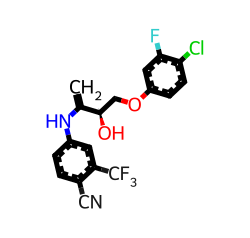 C=C(Nc1ccc(C#N)c(C(F)(F)F)c1)[C@H](O)COc1ccc(Cl)c(F)c1